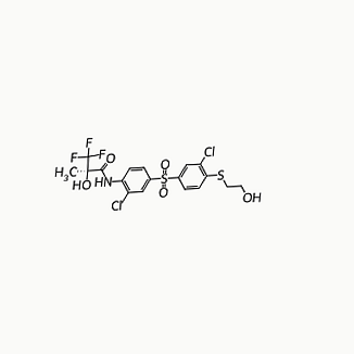 C[C@@](O)(C(=O)Nc1ccc(S(=O)(=O)c2ccc(SCCO)c(Cl)c2)cc1Cl)C(F)(F)F